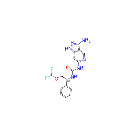 Nc1n[nH]c2cc(NC(=O)N[C@H](COC(F)F)c3ccccc3)ncc12